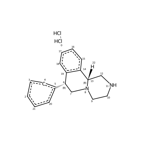 Cl.Cl.c1ccc([C@H]2CN3CCNC[C@H]3c3ccccc32)cc1